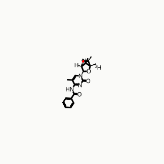 [2H]C[C@]12O[C@@H](n3cc(C)c(NC(=O)c4ccccc4)nc3=O)[C@H](S[C@H]1C)[C@@H]2C